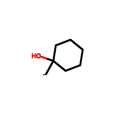 [CH2]C1(O)CCCCC1